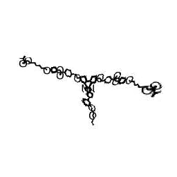 C=C(C)C(=O)OCCCCCCOc1ccc(OC(=O)C2CCC(COc3ccc4c5ccc(OCC6CCC(C(=O)Oc7ccc(OCCCCCCOC(=O)C(=C)C)cc7)CC6)cc5c5nc6cc(-c7cccc(OCCOCCC)c7)ccc6nc5c4c3)CC2)cc1